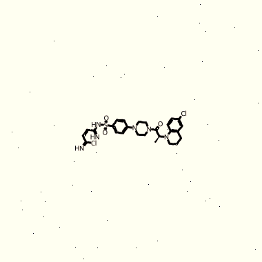 C[C@@H](C(=O)N1CCN(c2ccc(S(=O)(=O)NC(=N)/C=C\C(=N)Cl)cc2)CC1)N1CCCc2cc(Cl)ccc21